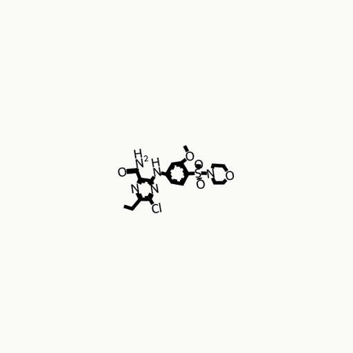 CCc1nc(C(N)=O)c(Nc2ccc(S(=O)(=O)N3CCOCC3)c(OC)c2)nc1Cl